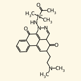 CC(=O)[N+](C)(C)NN1N=CC2C(=O)C(CCN(C)C)C=C3C2=C1C(=O)c1ccccc13